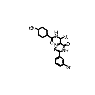 CCC(NC(=O)C1CCC(C(C)(C)C)CC1)c1nnc(-c2cccc(Br)c2)[nH]c1=O